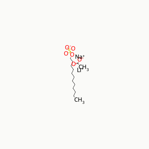 CC(=O)[O-].CCCCCCCCCCCCOS(=O)(=O)[O-].[Li+].[Na+]